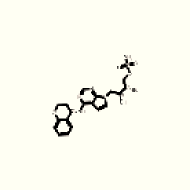 CC[C@@H](COS(N)(=O)=O)[C@@H](O)Cn1ccc2c(N[C@H]3CCOc4ccccc43)ncnc21